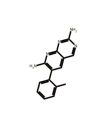 Cc1ccccc1-c1cc2cnc(N)nc2nc1N